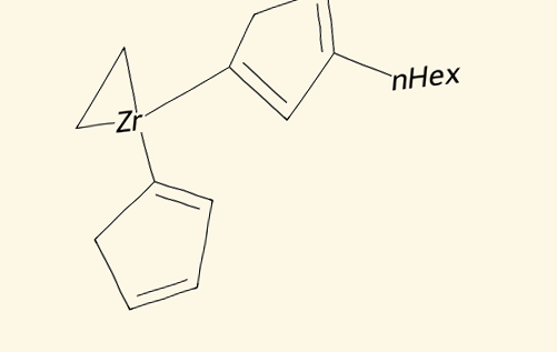 CCCCCCC1=CC[C]([Zr]2([C]3=CC=CC3)[CH2][CH2]2)=C1